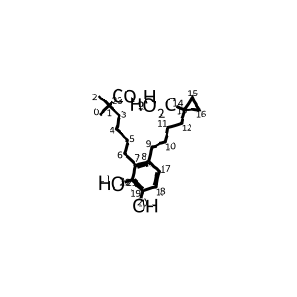 CC(C)(CCCCc1c(CCCCC2(C(=O)O)CC2)ccc(O)c1O)C(=O)O